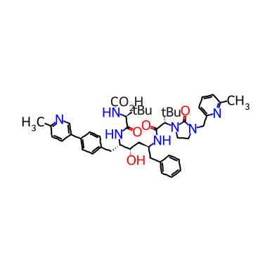 Cc1ccc(-c2ccc(C[C@H](NC(=O)[C@@H](NC(=O)O)C(C)(C)C)[C@@H](O)C[C@H](Cc3ccccc3)NC(=O)[C@@H](N3CCN(Cc4cccc(C)n4)C3=O)C(C)(C)C)cc2)cn1